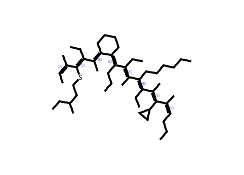 C\C=C(C)/C(SCCC(C)CC)=C(CC)/C(C)=C1\CCCC\C1=C(CCC)/C(CC)=C(C)/C(CCCCCC)=C(CC)/C(C)=C(/C(C)=C\CCC)C1CC1